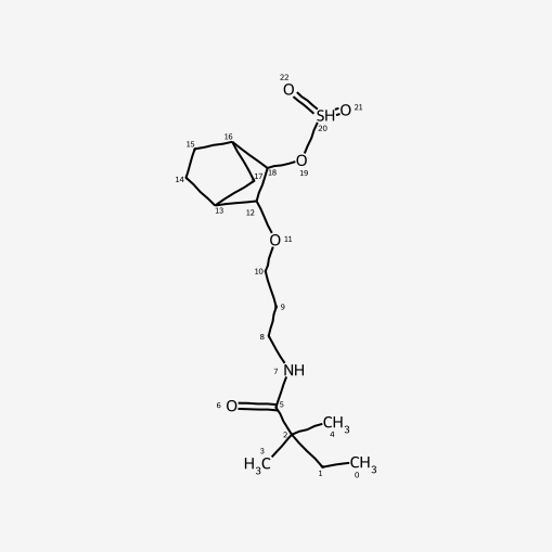 CCC(C)(C)C(=O)NCCCOC1C2CCC(C2)C1O[SH](=O)=O